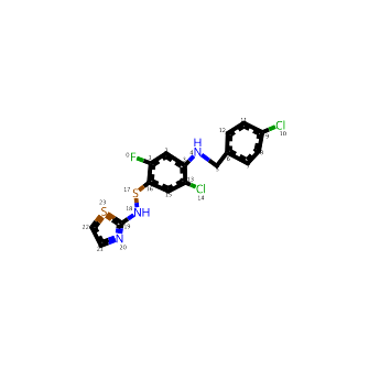 Fc1cc(NCc2ccc(Cl)cc2)c(Cl)cc1SNc1nccs1